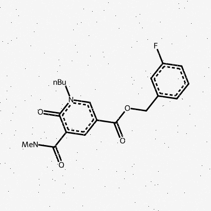 CCCCn1cc(C(=O)OCc2cccc(F)c2)cc(C(=O)NC)c1=O